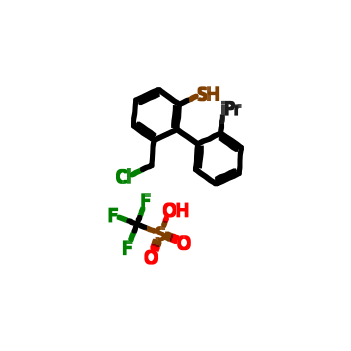 CC(C)c1ccccc1-c1c(S)cccc1CCl.O=S(=O)(O)C(F)(F)F